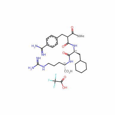 CNC(=O)C(Cc1ccc(C(=N)N)cc1)C(=O)N[C@@H](CC1CCCCC1)C(=O)N[C@@H](CCCNC(=N)N)C(=O)O.O=C(O)C(F)(F)F